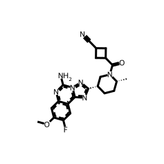 COc1cc2nc(N)n3nc([C@H]4CC[C@@H](C)N(C(=O)C5CC(C#N)C5)C4)nc3c2cc1F